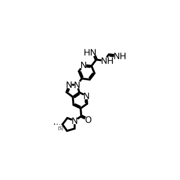 C[C@H]1CCN(C(=O)c2cnc3c(cnn3-c3ccc(C(=N)NC=N)nc3)c2)C1